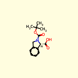 CC(C)(C)OC(=O)N1Cc2ccccc2[C@H]1C(=O)O